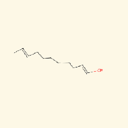 CC=CCCCCCCC=CO